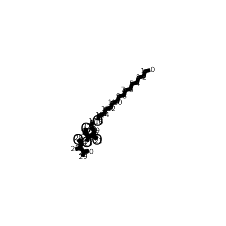 CCCCCCCCCCCCCCCCOCc1cc(=O)c(OC(=O)C(C)C(C)C)co1